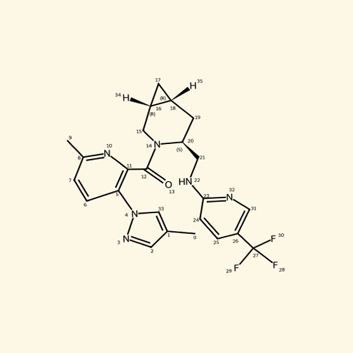 Cc1cnn(-c2ccc(C)nc2C(=O)N2C[C@@H]3C[C@@H]3C[C@H]2CNc2ccc(C(F)(F)F)cn2)c1